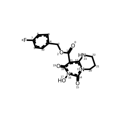 O=C(OCc1ccc(F)cc1)c1c2n(c(=O)n(O)c1=O)CCCN2